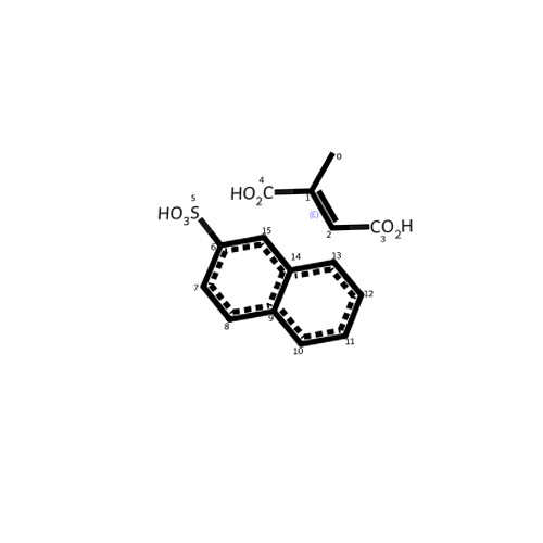 C/C(=C\C(=O)O)C(=O)O.O=S(=O)(O)c1ccc2ccccc2c1